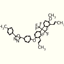 C/C=C/c1cc(C(c2ccc(Oc3ccc(-c4nnc(-c5ccc(C)cc5)o4)cc3)c(/C=C/C)c2)(C(F)(F)F)C(F)(F)F)ccc1OC